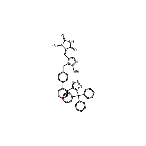 CCCCc1ncc(/C=C2\C(=O)NC(=O)N2CCCC)n1Cc1ccc(-c2ccccc2-c2nnnn2C(c2ccccc2)(c2ccccc2)c2ccccc2)cc1